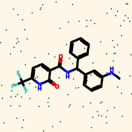 CNc1cccc(C(NC(=O)c2ccc(C(F)(F)F)[nH]c2=O)c2ccccc2)c1